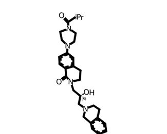 CC(C)C(=O)N1CCN(c2ccc3c(c2)CCN(C[C@H](O)CN2CCc4ccccc4C2)C3=O)CC1